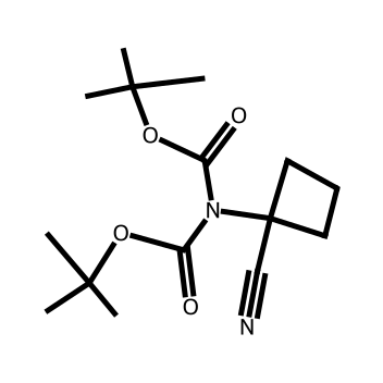 CC(C)(C)OC(=O)N(C(=O)OC(C)(C)C)C1(C#N)CCC1